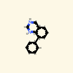 c1ccc(-c2cccc3cncnc23)cc1